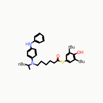 CCCCC(C)N(CCCCCC(=O)Sc1cc(C(C)(C)C)c(O)c(C(C)(C)C)c1)c1ccc(Nc2ccccc2)cc1